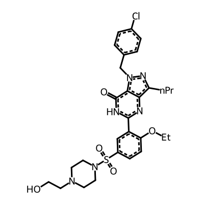 CCCc1nn(Cc2ccc(Cl)cc2)c2c(=O)[nH]c(-c3cc(S(=O)(=O)N4CCN(CCO)CC4)ccc3OCC)nc12